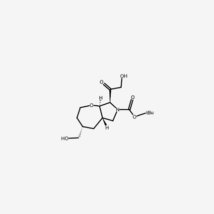 CC(C)(C)OC(=O)N1C[C@@H]2C[C@H](CO)CCO[C@H]2[C@H]1C(=O)CO